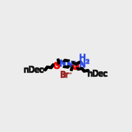 CCCCCCCCCCCCCCOC(C)N1CC[N+](CCCN)(C(C)OCCCCCCCCCCCCCC)CC1.[Br-]